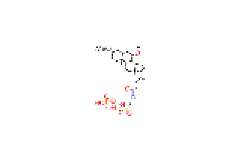 CCOC1CC2CC(OC)CCC2(C)C2CCC3(C)C(C(C)CCC(=O)NCCS(=O)(=O)OCOP(=O)(O)O)CCC3C12